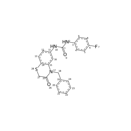 O=C(Nc1ccc(F)cc1)Nc1ccc2c(c1)N(Cc1ccccc1)C(=O)CS2